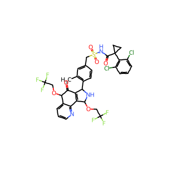 Cc1cc(CS(=O)(=O)NC(=O)C2(c3c(Cl)cccc3Cl)CC2)ccc1C1NC(OCC(F)(F)F)C2=C1C(=O)C(OCC(F)(F)F)c1cccnc12